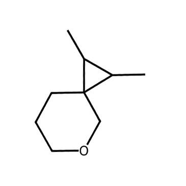 CC1C(C)C12CCCOC2